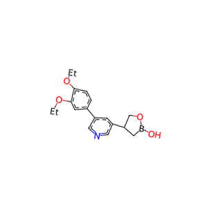 CCOc1ccc(-c2cncc(C3COB(O)C3)c2)cc1OCC